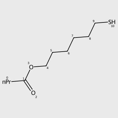 CCCC(=O)OCCCCCCS